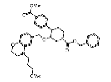 COCCCN1CCOc2ccc(COC3CN(C(=O)OCc4ccccc4)CCC3c3ccc(C(=O)OC)cc3)cc21